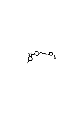 O=Cc1ccc(SCCCN2CCC(c3noc4cc(F)ccc34)CC2)s1